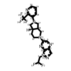 FC(F)Cn1ncc2ncc(N3CC[C@@H]4CN(c5cccnc5C(F)(F)F)CC4C3)nc21